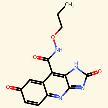 CCCONC(=O)c1c2c(nc3c1=CC(=O)C=C3)=NC(=O)N2